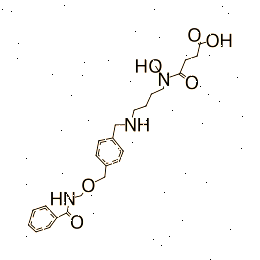 O=C(O)CCC(=O)N(O)CCCCNCc1ccc(COCNC(=O)c2ccccc2)cc1